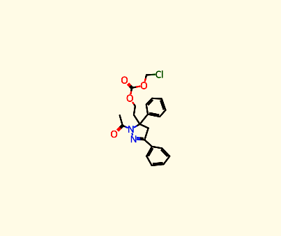 CC(=O)N1N=C(c2ccccc2)CC1(CCOC(=O)OCCl)c1ccccc1